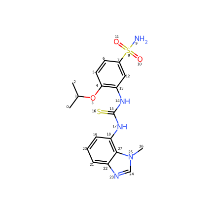 CC(C)Oc1ccc(S(N)(=O)=O)cc1NC(=S)Nc1cccc2ncn(C)c12